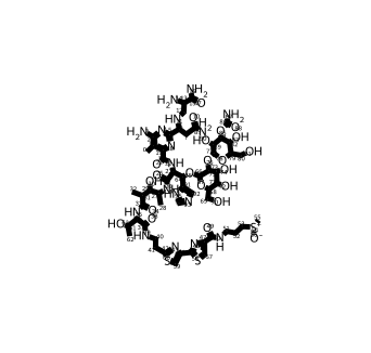 Cc1c(N)nc(C(CC(N)=O)NCC(N)C(N)=O)nc1C(=O)NC(C(=O)NC(C)C(O)C(C)C(=O)NC(C(=O)NCCc1nc(-c2nc(C(=O)NCCC[S+](C)[O-])cs2)cs1)C(C)O)C(OC1OC(CO)C(O)C(O)C1OC1OC(CO)C(O)C(OC(N)=O)C1O)c1cnc[nH]1